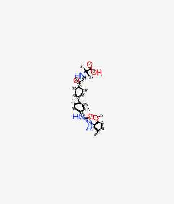 COc1ccc(C)cc1NC(=O)Nc1ccc([C@H]2CC[C@H](C(=O)CNC(C)(C)C(=O)O)CC2)cc1